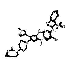 COc1cc(N2CCC(N3CCCCOC3=O)CC2)c(-c2cnn(C)c2)cc1Nc1ncc(Br)c(Nc2cnc3ccccc3c2P(C)(C)=O)n1